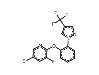 Fc1cc(Cl)cnc1Oc1ccccc1-n1cc(C(F)(F)F)cn1